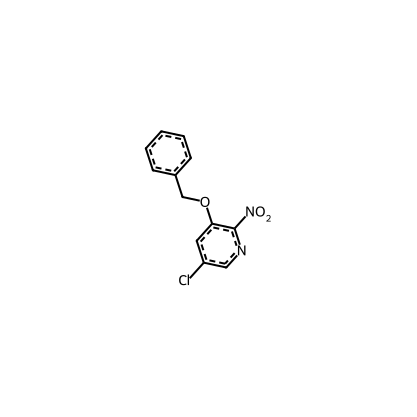 O=[N+]([O-])c1ncc(Cl)cc1OCc1ccccc1